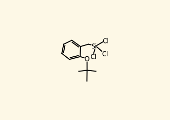 CC(C)(C)Oc1ccccc1C[Si](Cl)(Cl)Cl